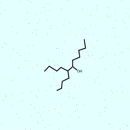 CCCCCC(O)C(CCCC)CCCC